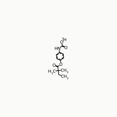 [3H]OC(=O)Nc1ccc(OC(=O)C(C)(C)CC)cc1